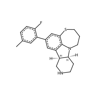 Cc1ccc(F)c(-c2cc3c4c(c2)[C@@H]2CNCC[C@@H]2N4CCCS3)c1